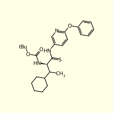 CC(C1CCCCC1)[C@@H](NC(=O)OC(C)(C)C)C(=S)Nc1ccc(Oc2ccccc2)nc1